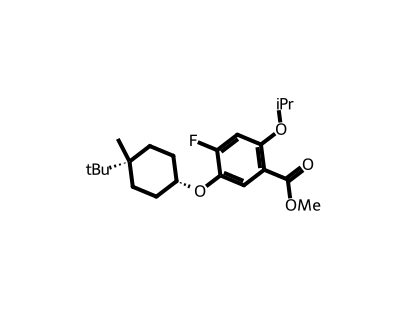 COC(=O)c1cc(O[C@H]2CC[C@@](C)(C(C)(C)C)CC2)c(F)cc1OC(C)C